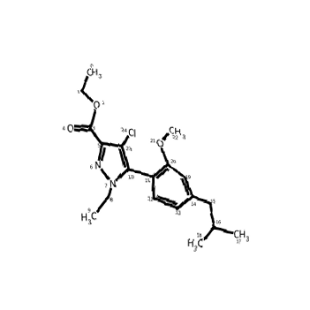 CCOC(=O)c1nn(CC)c(-c2ccc(CC(C)C)cc2OC)c1Cl